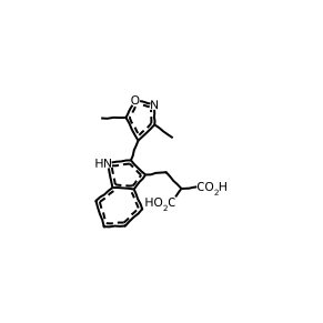 Cc1noc(C)c1-c1[nH]c2ccccc2c1CC(C(=O)O)C(=O)O